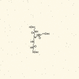 CCCCCCCCCCCCNC(=O)CCNCCN(CCC(=O)NCCCCCCCCCCCC)CCC(=O)NCCCCCCCCCCCC